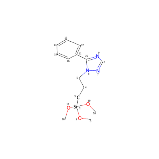 CO[Si](CCCn1ncnc1-c1ccccc1)(OC)OC